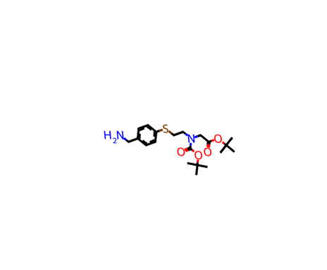 CC(C)(C)OC(=O)CN(CCSc1ccc(CN)cc1)C(=O)OC(C)(C)C